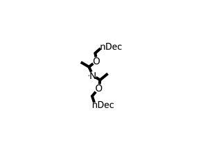 CCCCCCCCCCCOC(C)[N]C(C)OCCCCCCCCCCC